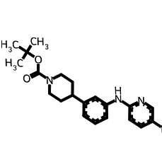 CC(C)(C)OC(=O)N1CCC(c2cccc(Nc3ccc(F)cn3)c2)CC1